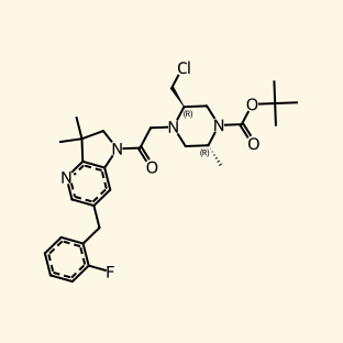 C[C@@H]1CN(CC(=O)N2CC(C)(C)c3ncc(Cc4ccccc4F)cc32)[C@@H](CCl)CN1C(=O)OC(C)(C)C